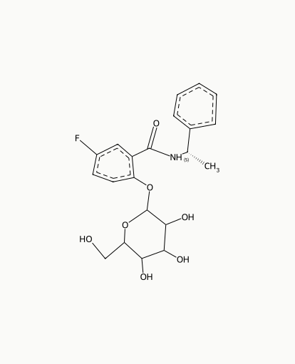 C[C@H](NC(=O)c1cc(F)ccc1OC1OC(CO)C(O)C(O)C1O)c1ccccc1